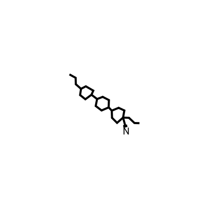 CCCC1CCC(C2CCC(C3CCC(C#N)(CCC)CC3)CC2)CC1